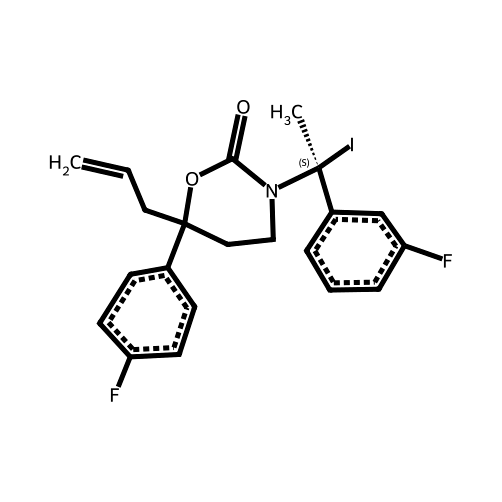 C=CCC1(c2ccc(F)cc2)CCN([C@@](C)(I)c2cccc(F)c2)C(=O)O1